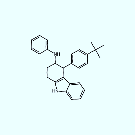 CC(C)(C)c1ccc(C2c3c([nH]c4ccccc34)CCC2Nc2ccccc2)cc1